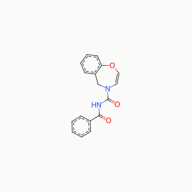 O=C(NC(=O)N1C=COc2ccccc2C1)c1ccccc1